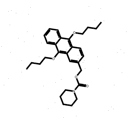 CCCCOc1c2ccccc2c(OCCCC)c2cc(COC(=O)N3CCCCC3)ccc12